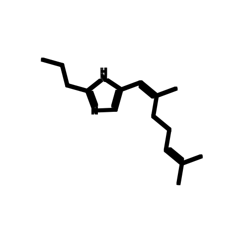 CCCc1ncc(C=C(C)CCC=C(C)C)[nH]1